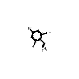 C=Cc1c(F)cc(F)cc1F